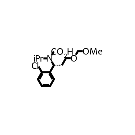 COCOCC[C@H](c1ccccc1Cl)N(C(=O)O)C(C)C